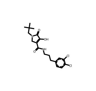 CC(C)(C)CN1CC(C(=O)NCCCc2ccc(Cl)c(Cl)c2)=C(O)C1=O